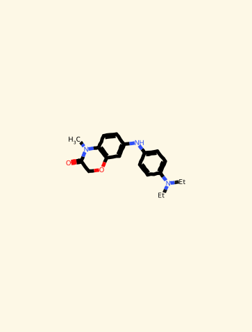 CCN(CC)c1ccc(Nc2ccc3c(c2)OCC(=O)N3C)cc1